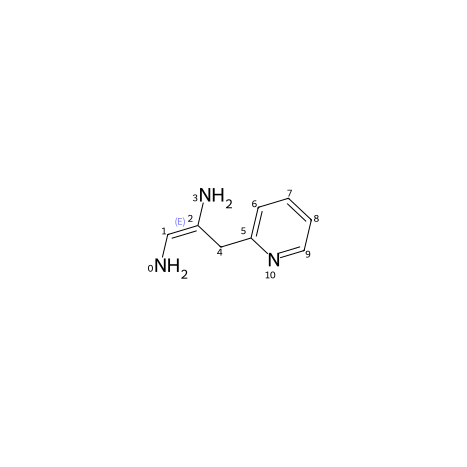 N/C=C(/N)Cc1ccccn1